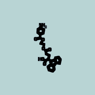 Nc1ccc(C(=O)OCCOC(=O)CCC(C(=O)O)n2c3ccccc3c3ccccc32)cc1